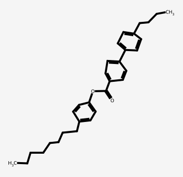 CCCCCCCCc1ccc(OC(=O)c2ccc(-c3ccc(CCCC)cc3)cc2)cc1